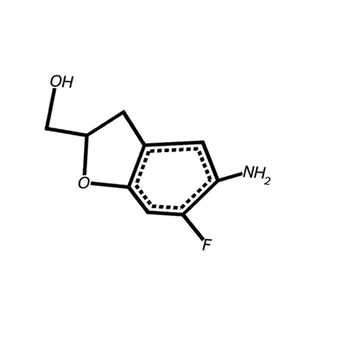 Nc1cc2c(cc1F)OC(CO)C2